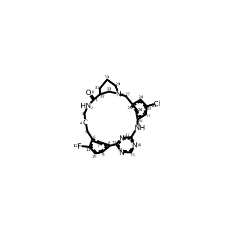 O=C1NCCCc2cc(ccc2F)-c2ncnc(n2)Nc2cc(Cl)cc(c2)CN2CCCC1C2